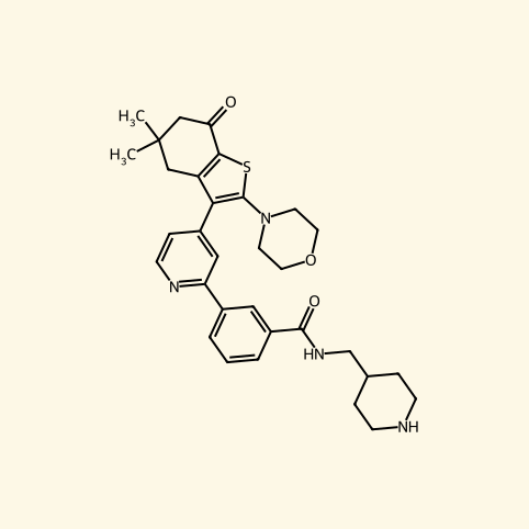 CC1(C)CC(=O)c2sc(N3CCOCC3)c(-c3ccnc(-c4cccc(C(=O)NCC5CCNCC5)c4)c3)c2C1